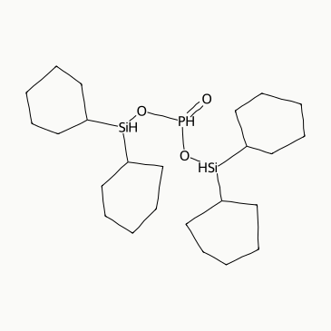 O=[PH](O[SiH](C1CCCCC1)C1CCCCC1)O[SiH](C1CCCCC1)C1CCCCC1